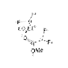 CCOC(=O)C(F)F.COC(=O)C(F)F